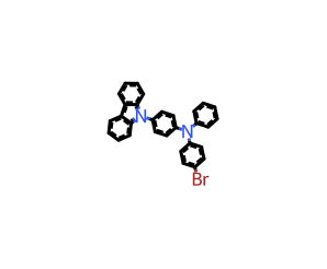 Brc1ccc(N(c2ccccc2)c2ccc(-n3c4ccccc4c4ccccc43)cc2)cc1